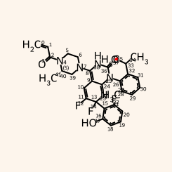 C=CC(=O)N1CCN(C2=C3C=C(F)C(F)(c4c(O)cccc4F)N=C3N(c3c(C)cccc3C(C)C)C(=O)N2)C[C@@H]1C